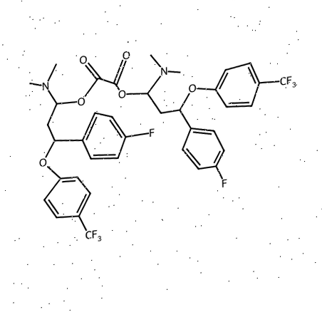 CN(C)C(CC(Oc1ccc(C(F)(F)F)cc1)c1ccc(F)cc1)OC(=O)C(=O)OC(CC(Oc1ccc(C(F)(F)F)cc1)c1ccc(F)cc1)N(C)C